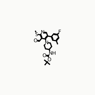 CSc1ncc(-c2cc(C)cc(F)c2)c(N2CCC(NC(=O)OC(C)(C)C)CC2)c1C=O